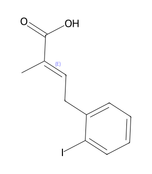 C/C(=C\Cc1ccccc1I)C(=O)O